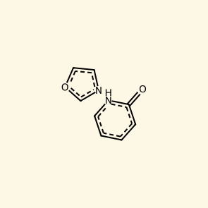 O=c1cccc[nH]1.c1cocn1